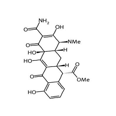 CN[C@@H]1C(O)=C(C(N)=O)C(=O)[C@@]2(O)C(O)=C3C(=O)c4c(O)cccc4[C@@H](C(=O)OC)[C@H]3C[C@@H]12